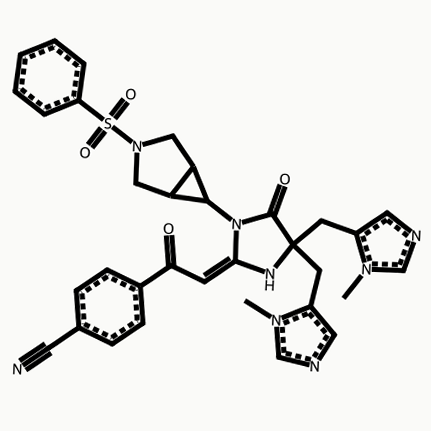 Cn1cncc1CC1(Cc2cncn2C)NC(=CC(=O)c2ccc(C#N)cc2)N(C2C3CN(S(=O)(=O)c4ccccc4)CC32)C1=O